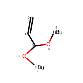 C=CC(OCCCC)OCCCC